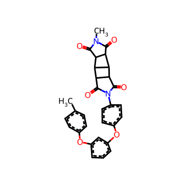 Cc1ccc(Oc2cccc(Oc3ccc(N4C(=O)C5C(C4=O)C4C6C(=O)N(C)C(=O)C6C54)cc3)c2)cc1